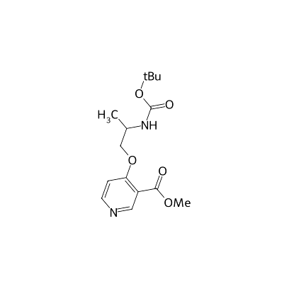 COC(=O)c1cnccc1OCC(C)NC(=O)OC(C)(C)C